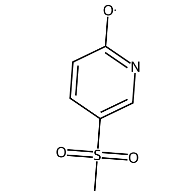 CS(=O)(=O)c1ccc([O])nc1